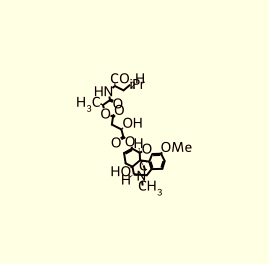 COc1ccc2c3c1O[C@@H]1C(OC(=O)[C@@H](O)CC(=O)O[C@@H](C)C(=O)N[C@@H](CC(C)C)C(=O)O)=CC[C@]4(O)[C@H](C2)N(C)CC[C@@]314